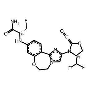 NC(=O)[C@H](CF)Nc1ccc2c(c1)OCCn1cc(N3C(=C=O)OC[C@H]3C(F)F)nc1-2